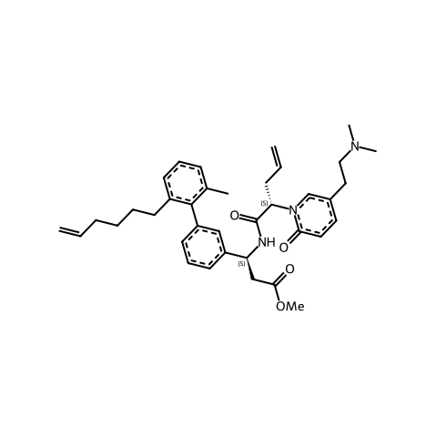 C=CCCCCc1cccc(C)c1-c1cccc([C@H](CC(=O)OC)NC(=O)[C@H](CC=C)n2cc(CCN(C)C)ccc2=O)c1